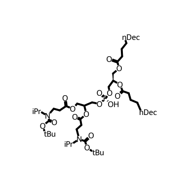 CCCCCCCCCCCCCC(=O)OC[C@H](COP(=O)(O)OCC(COC(=O)CCN(C(=O)OC(C)(C)C)C(C)C)OC(=O)CCN(C(=O)OC(C)(C)C)C(C)C)OC(=O)CCCCCCCCCCCCC